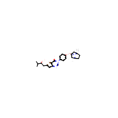 CC(C)C(O)Cc1cc2ncn(-c3ccc(O[C@H]4C[C@H]5CC[C@@H](C4)N5C)cc3)c(=O)c2s1